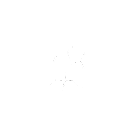 C=CC(=O)O[C](=C)[Na].CCCS(=O)(=O)OC